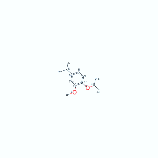 COc1cc(C(C)C)ccc1OC(C)C